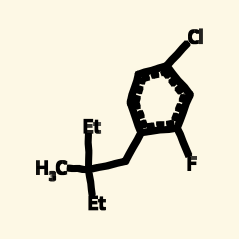 CCC(C)(CC)Cc1ccc(Cl)cc1F